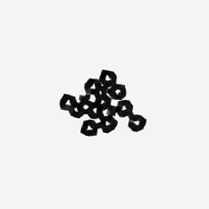 CC1(C)c2ccc(-c3c(-c4ccccc4)cccc3N(c3cccc(-c4ccccc4)c3)c3ccc4c(c3)C(c3ccccc3)(c3ccccc3)c3ccccc3-4)cc2-c2ccc3ccccc3c21